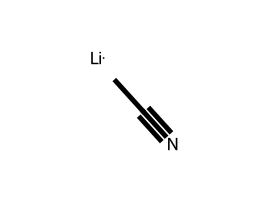 CC#N.[Li]